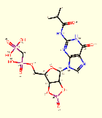 CC(C)C(=O)Nc1nc2c(ncn2[C@@H]2O[C@H](COP(=O)(O)CP(=O)(O)O)C3O[PH](=O)OC32)c(=O)[nH]1